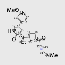 CCN(c1cc(-c2ccnc(OC)c2)c[nH]c1=O)C1CCN(C(=O)/C=C/CNC)C1